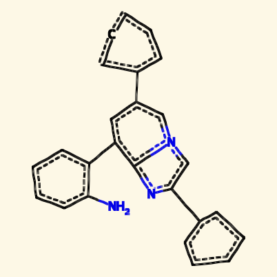 Nc1ccccc1-c1cc(-c2ccccc2)cn2cc(-c3ccccc3)nc12